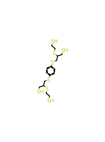 SCCSC(CS)CSc1ccc(SCC(CS)SCCS)cc1